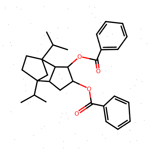 CC(C)C12CCC(C(C)C)(C1)C1C(OC(=O)c3ccccc3)C(OC(=O)c3ccccc3)CC12